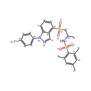 Cc1cc(C)c(S(=O)(=O)NC(C)CS(=O)(=O)c2cccc3c2cnn3-c2ccc(F)cc2)c(C)c1